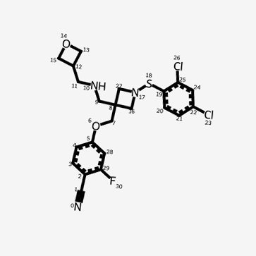 N#Cc1ccc(OCC2(CNCC3COC3)CN(Sc3ccc(Cl)cc3Cl)C2)cc1F